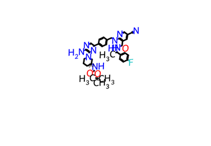 CC(NC(=O)c1cc(C#N)cnc1NCc1ccc(-c2cnc(N)c(N3CCC[C@@H](NC(=O)OC(C)(C)C)C3)n2)cc1)c1ccc(F)cc1